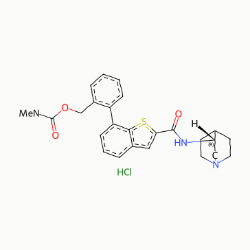 CNC(=O)OCc1ccccc1-c1cccc2cc(C(=O)N[C@H]3CN4CCC3CC4)sc12.Cl